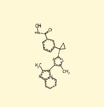 Cc1nc2ccccn2c1-c1nc(C2(c3cccc(C(=O)NO)c3)CC2)sc1C